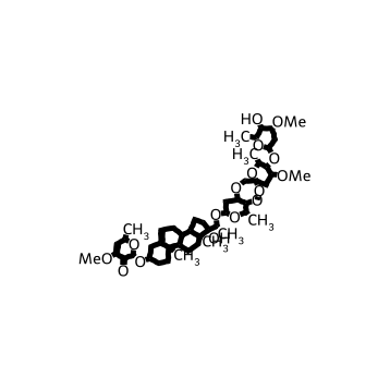 COC1=CC(C)OC(OC2CCC3(C)C(=CCC4C3CCC3(C)C4CCC3(O)C(C)OC3CC4OCC5(CC(OC)C(OC6CC(OC)C(O)C(C)O6)C(C)O5)OOC4C(C)O3)C2)C1=O